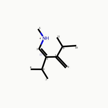 C=C(/C(=C\NC)C(C)C)C(C)C